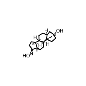 C[C@]12CC[C@H](O)C[C@@H]1CC[C@@H]1[C@@H]2CC[C@]2(C)C(=NO)CC[C@@H]12